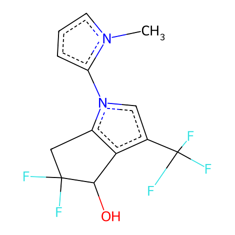 Cn1cccc1-n1cc(C(F)(F)F)c2c1CC(F)(F)C2O